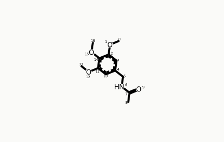 COc1cc(CNC(C)=O)cc(OC)c1OC